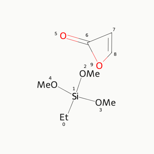 CC[Si](OC)(OC)OC.O=C1C=CO1